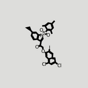 Cc1cc(C)c(S(=O)(=O)n2cc(C(=O)COc3cc4c(Cl)cc(Cl)cc4cc3I)c3ccc(C4CC4)cc32)c(C)c1